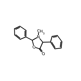 CN1C(c2ccccc2)OC(=O)C1c1ccccc1